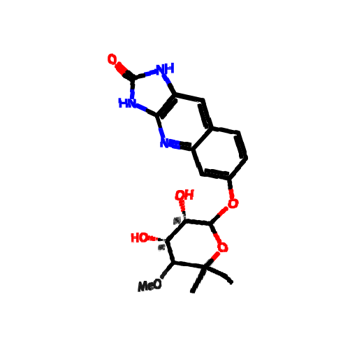 COC1[C@H](O)[C@H](O)C(Oc2ccc3cc4[nH]c(=O)[nH]c4nc3c2)OC1(C)C